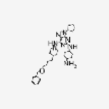 N[C@H]1CC[C@H](Nc2nc(NN3CCC(CCCCOCc4ccccc4)CC3)c3ncn(C4CCCC4)c3n2)CC1